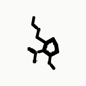 CCOCc1cccc(OC)c1[N+](=O)[O-]